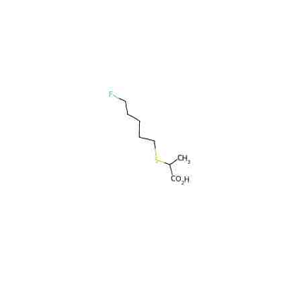 CC(SCCCCCF)C(=O)O